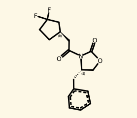 O=C(C[C@H]1CCC(F)(F)C1)N1C(=O)OC[C@@H]1Cc1ccccc1